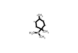 CC1CCC(C)(N(C)C)CC1